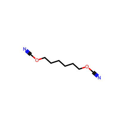 N#COCCCCCCOC#N